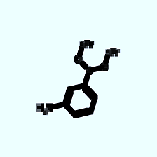 CCCOB(OCCC)c1cccc(N)c1